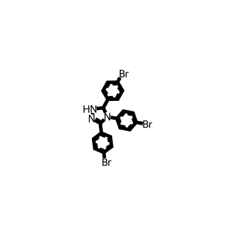 Brc1ccc(C2=NNC(c3ccc(Br)cc3)N2c2ccc(Br)cc2)cc1